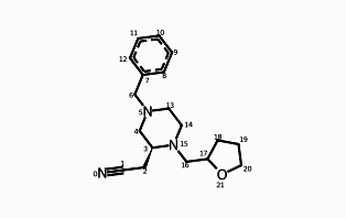 N#CC[C@H]1CN(Cc2ccccc2)CCN1CC1CCCO1